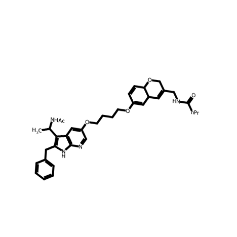 CCCC(=O)NCC1=CC2C=C(OCCCCOc3cnc4[nH]c(Cc5ccccc5)c(C(C)NC(C)=O)c4c3)C=CC2OC1